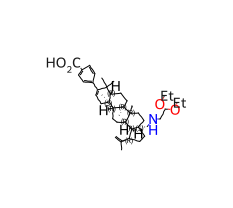 C=C(C)[C@@H]1CC[C@]2(CNCC(OCC)OCC)CC[C@]3(C)[C@H](CC[C@@H]4[C@@]5(C)CC=C(c6ccc(C(=O)O)cc6)C(C)(C)[C@@H]5CC[C@]43C)[C@@H]12